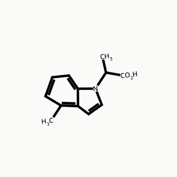 Cc1cccc2c1ccn2C(C)C(=O)O